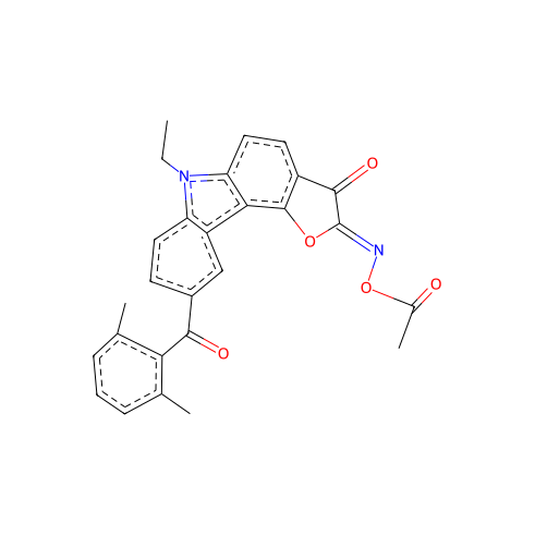 CCn1c2ccc(C(=O)c3c(C)cccc3C)cc2c2c3c(ccc21)C(=O)/C(=N/OC(C)=O)O3